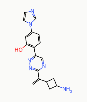 C=C(c1ncc(-c2ccc(-n3ccnc3)cc2O)nn1)C1CC(N)C1